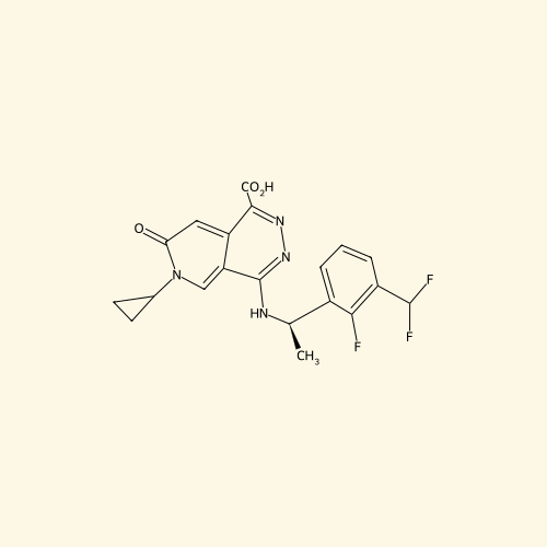 C[C@@H](Nc1nnc(C(=O)O)c2cc(=O)n(C3CC3)cc12)c1cccc(C(F)F)c1F